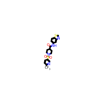 O=C(Nc1ccc2scnc2c1)C1CCN(S(=O)(=O)c2ccc(C(F)(F)F)nc2)CC1